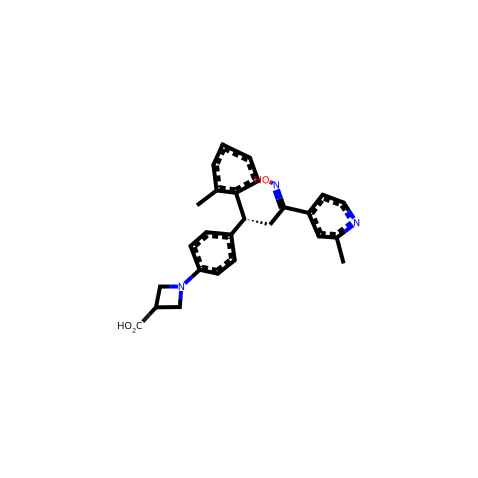 Cc1cc(/C(C[C@H](c2ccc(N3CC(C(=O)O)C3)cc2)c2ccccc2C)=N/O)ccn1